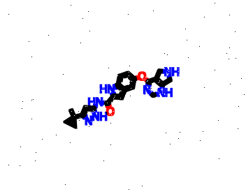 CC1(c2cc(NC(=O)c3cc4cc(OC5=NCNC6=C5CNC6)ccc4[nH]3)[nH]n2)CC1